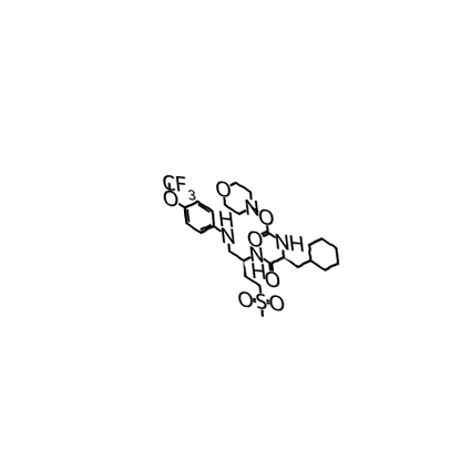 CS(=O)(=O)CC[C@@H](CNc1ccc(OC(F)(F)F)cc1)NC(=O)[C@H](CC1CCCCC1)NC(=O)ON1CCOCC1